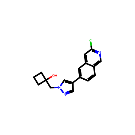 OC1(Cn2cc(-c3ccc4cnc(Cl)cc4c3)cn2)CCC1